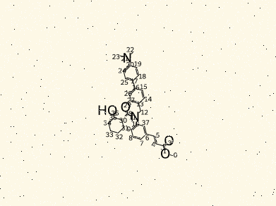 COC(=O)/C=C/c1cccc(N(Cc2ccc(-c3ccc(N(C)C)cc3)cc2)C(=O)[C@@H]2CCCC[C@H]2O)c1